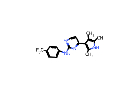 Cc1[nH]c(C#N)c(C)c1-c1ccnc(Nc2ccc(C(F)(F)F)cc2)n1